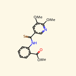 COC(=O)c1ccccc1NC(=S)c1cnc(OC)c(OC)c1